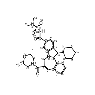 C[C@@H]1CN(C(=O)C2=Cc3ccccc3C3C(C4CCCCC4)c4ccc(C(=O)NS(=O)(=O)N(C)C)cc4N3C2)C[C@H](C)O1